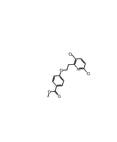 COC(=O)c1ccc(OCCc2nc(Cl)ccc2Cl)cc1